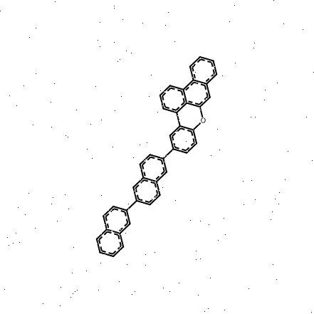 c1ccc2cc(-c3ccc4cc(-c5ccc6c(c5)-c5cccc7c5c(cc5ccccc57)O6)ccc4c3)ccc2c1